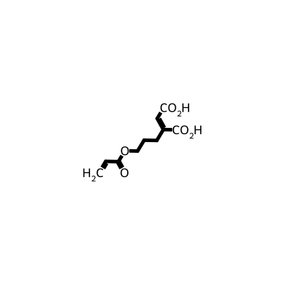 C=CC(=O)OCCC/C(=C/C(=O)O)C(=O)O